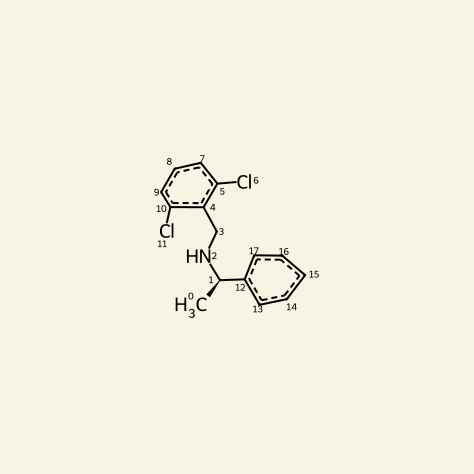 C[C@@H](NCc1c(Cl)cccc1Cl)c1ccccc1